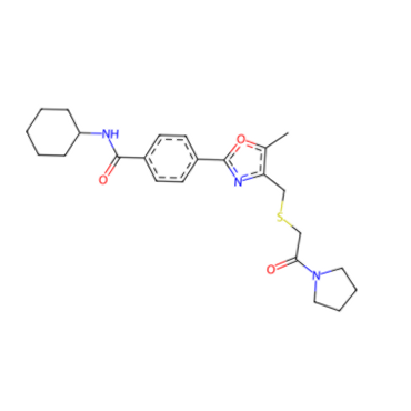 Cc1oc(-c2ccc(C(=O)NC3CCCCC3)cc2)nc1CSCC(=O)N1CCCC1